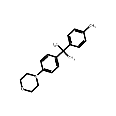 Cc1ccc(C(C)(C)c2ccc(N3CCOCC3)cc2)cc1